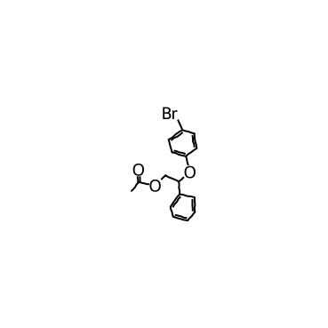 CC(=O)OCC(Oc1ccc(Br)cc1)c1ccccc1